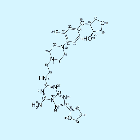 Nc1nc(NCCN2CCN(c3ccc(O[C@@H]4COC[C@H]4O)cc3F)CC2)nc2nc(-c3ccco3)nn12